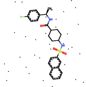 C[C@@H](NC(=O)C1CCC(NS(=O)(=O)c2ccc3ccccc3c2)CC1)c1ccc(F)cc1